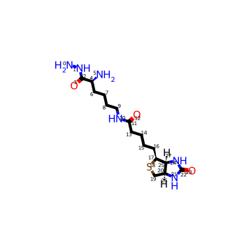 NNC(=O)[C@@H](N)CCCCNC(=O)CCCC[C@@H]1SC[C@@H]2NC(=O)N[C@@H]21